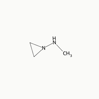 CNN1CC1